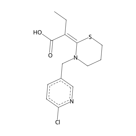 CCC(C(=O)O)=C1SCCCN1Cc1ccc(Cl)nc1